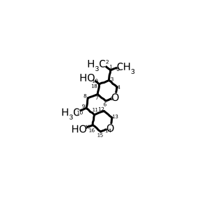 CC(C)C1COCC(CC(C)C2CCOCC2O)C1O